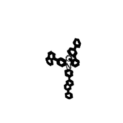 c1ccc(-c2ccc3cc(-c4ccc(N(c5ccc(-c6cccc7ccccc67)cc5)c5cccc6c5oc5ccc(-c7ccccc7)cc56)cc4)ccc3c2)cc1